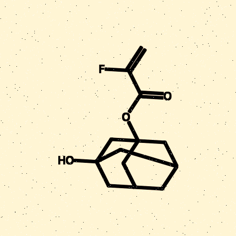 C=C(F)C(=O)OC12CC3CC(CC(O)(C3)C1)C2